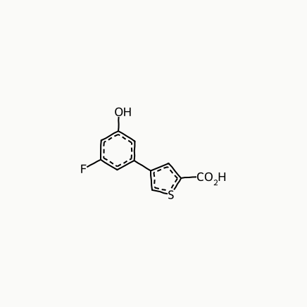 O=C(O)c1cc(-c2cc(O)cc(F)c2)cs1